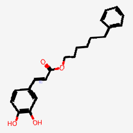 O=C(/C=C/c1ccc(O)c(O)c1)OCCCCCCc1ccccc1